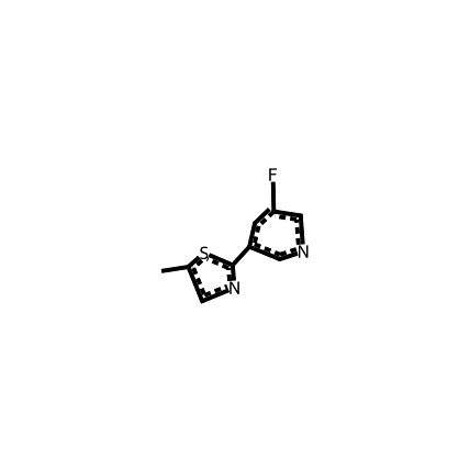 Cc1cnc(-c2cncc(F)c2)s1